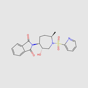 C[C@@H]1CC[C@H](N2C(=O)c3ccccc3C2=O)[C@@H](O)CN1S(=O)(=O)c1ccccn1